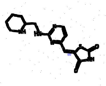 O=C1NC(=O)/C(=C/c2ccnc(NCC3CCCCN3)n2)S1